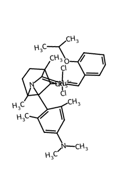 Cc1cc(N(C)C)cc(C)c1N1[C](=[Ru-4]([Cl])([Cl])=[CH]c2ccccc2OC(C)C)C2(C)CCC1(C)CC2C